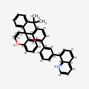 CC1(C)c2ccccc2C2(c3ccccc3Oc3ccccc32)c2cc(-c3cccc(-c4cccc5cccnc45)c3)ccc21